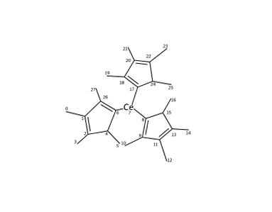 CC1=C(C)C(C)[C]([Ce]([C]2=C(C)C(C)=C(C)C2C)[C]2=C(C)C(C)=C(C)C2C)=C1C